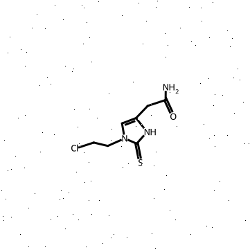 NC(=O)Cc1cn(CCCl)c(=S)[nH]1